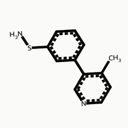 Cc1ccncc1-c1cccc(SN)c1